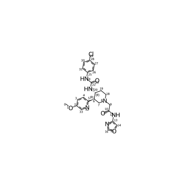 COc1ccc([C@@H]2CN(CC(=O)Nc3cocn3)CC[C@H]2NC(=O)Nc2ccc(Cl)cc2)nc1